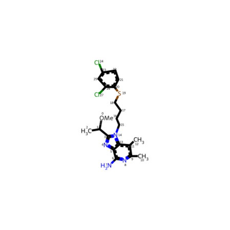 COC(C)c1nc2c(N)nc(C)c(C)c2n1CCCCSc1ccc(Cl)cc1Cl